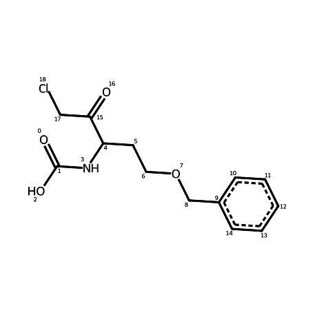 O=C(O)NC(CCOCc1ccccc1)C(=O)CCl